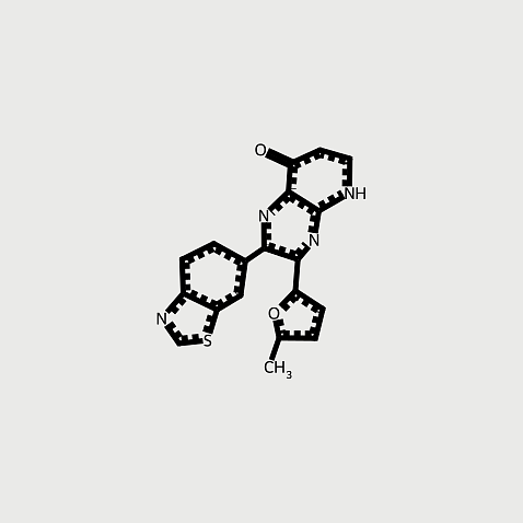 Cc1ccc(-c2nc3[nH]ccc(=O)c3nc2-c2ccc3ncsc3c2)o1